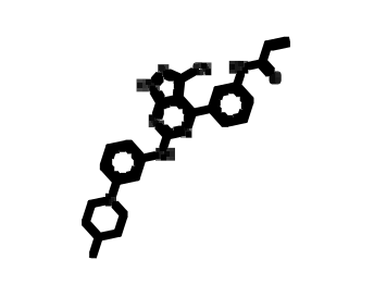 C=CC(=O)Nc1cccc(-c2nc(Nc3cccc(N4CCC(C)CC4)c3)nc3[nH]nc(C#N)c23)c1